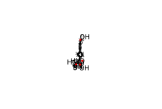 O=C(NC(C(=O)NO)C1(O)CSC1)c1ccc(C#CC#CCCO)cc1